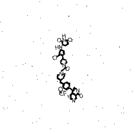 Cn1cc(-c2ccc(CC3CCN(CC(=O)N4CCC(c5ccc(NC6CCC(=O)NC6=O)cc5Cl)CC4)CC3)c(OC(F)(F)F)c2)c2ccncc2c1=O